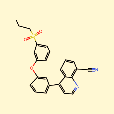 CCCS(=O)(=O)c1cccc(Oc2cccc(-c3ccnc4c(C#N)cccc34)c2)c1